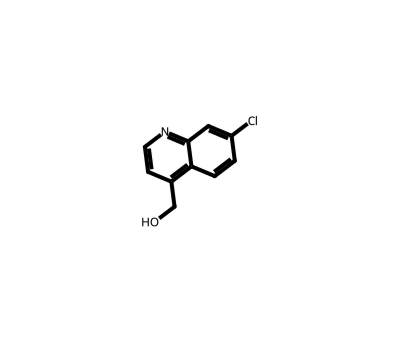 OCc1ccnc2cc(Cl)ccc12